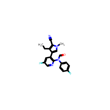 CCc1c(-c2cc(F)cnc2N(C=O)c2ccc(F)cc2)cn(C)c1C#N